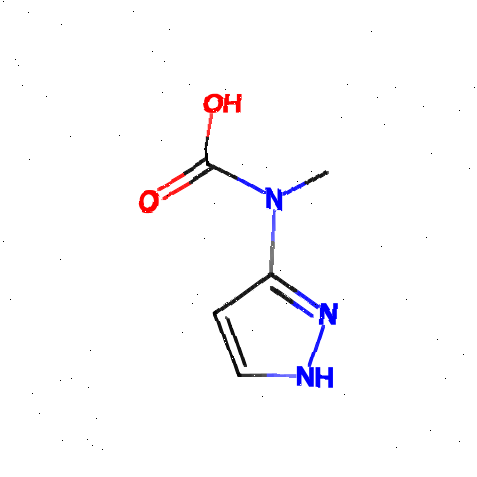 CN(C(=O)O)c1cc[nH]n1